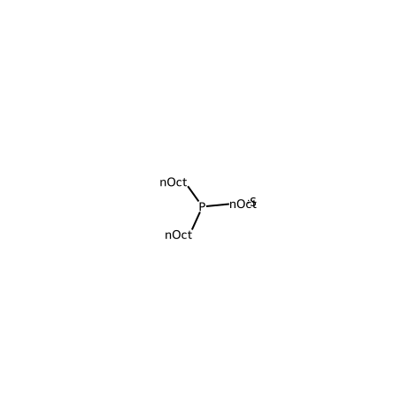 CCCCCCCCP(CCCCCCCC)CCCCCCCC.[S]